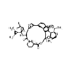 CCn1c(-c2cccnc2[C@H](C)OC)c2c3cc(ccc31)-c1csc(n1)[C@@H](OCC(F)F)[C@H](NC(=O)[C@H]1[C@H](C)[C@@H]1C)C(=O)N1CCC[C@H](N1)C(=O)OCC(C)(C)C2